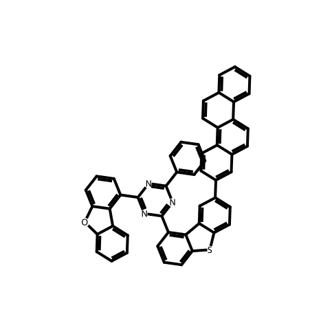 c1ccc(-c2nc(-c3cccc4oc5ccccc5c34)nc(-c3cccc4sc5ccc(-c6ccc7c(ccc8c9ccccc9ccc78)c6)cc5c34)n2)cc1